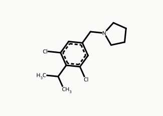 CC(C)c1c(Cl)cc(CN2CCCC2)cc1Cl